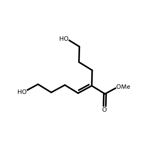 COC(=O)C(=CCCCO)CCCO